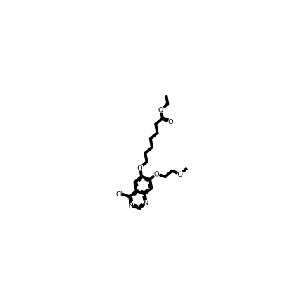 CCOC(=O)CCCCCCOc1cc2c(Cl)ncnc2cc1OCCOC